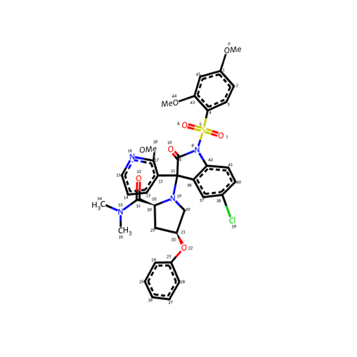 COc1ccc(S(=O)(=O)N2C(=O)C(c3cccnc3OC)(N3C[C@@H](Oc4ccccc4)C[C@H]3C(=O)N(C)C)c3cc(Cl)ccc32)c(OC)c1